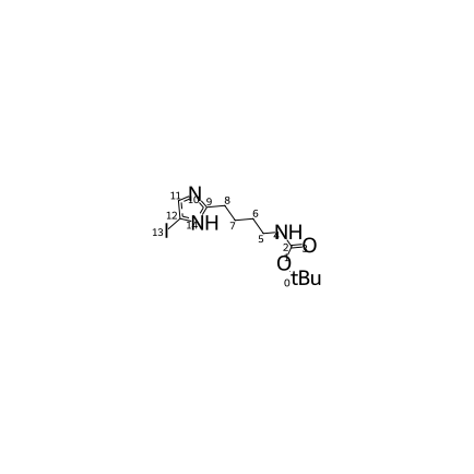 CC(C)(C)OC(=O)NCCCCc1ncc(I)[nH]1